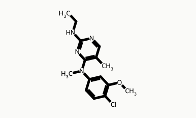 CCNc1ncc(C)c(N(C)c2ccc(Cl)c(OC)c2)n1